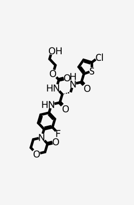 O=C(N[C@H](CNC(=O)c1ccc(Cl)s1)C(=O)Nc1ccc(N2CCOCC2=O)c(F)c1)OCCO